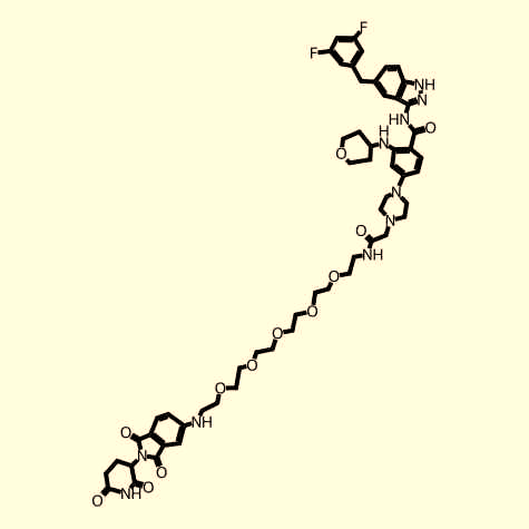 O=C(CN1CCN(c2ccc(C(=O)Nc3n[nH]c4ccc(Cc5cc(F)cc(F)c5)cc34)c(NC3CCOCC3)c2)CC1)NCCOCCOCCOCCOCCOCCNc1ccc2c(c1)C(=O)N(C1CCC(=O)NC1=O)C2=O